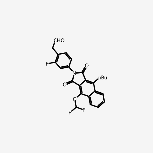 CCCCc1c2c(c(OC(F)F)c3ccccc13)C(=O)N(c1ccc(CC=O)c(F)c1)C2=O